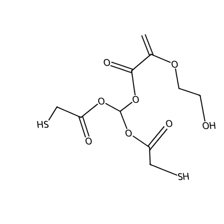 C=C(OCCO)C(=O)OC(OC(=O)CS)OC(=O)CS